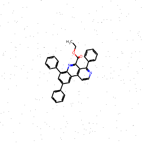 CCOC(=O)c1nc2c(-c3ccccc3)cc(-c3ccccc3)cc2c2ccnc(-c3ccccc3)c12